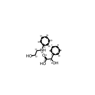 O=C(O)C(O)c1ccccc1.OCCNc1ccccc1